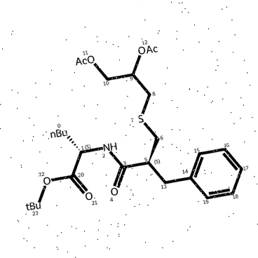 CCCC[C@H](NC(=O)[C@@H](CSCC(COC(C)=O)OC(C)=O)Cc1ccccc1)C(=O)OC(C)(C)C